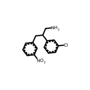 NCC(Cc1cccc([N+](=O)[O-])c1)c1cccc(Cl)c1